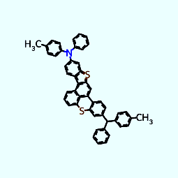 Cc1ccc(C(c2ccccc2)c2ccc3c(c2)Sc2cccc4c2c-3cc2sc3cc(N(c5ccccc5)c5ccc(C)cc5)ccc3c24)cc1